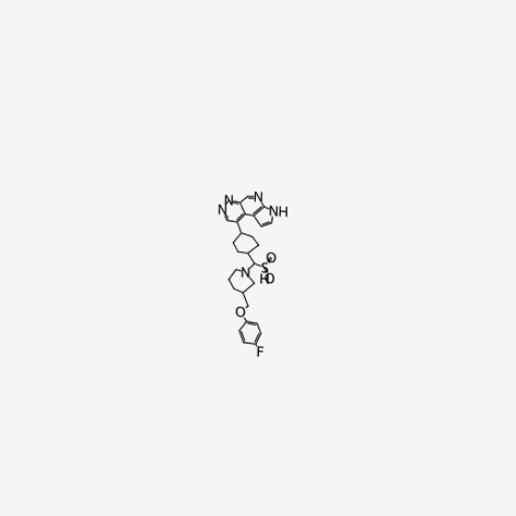 O=[SH](=O)C(C1CCC(c2cnnc3cnc4[nH]ccc4c23)CC1)N1CCCC(COc2ccc(F)cc2)C1